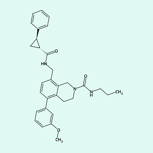 CCCNC(=O)N1CCc2c(-c3cccc(OC)c3)ccc(CNC(=O)[C@@H]3C[C@H]3c3ccccc3)c2C1